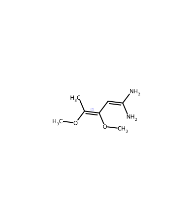 CO/C(C)=C(/C=C(N)N)OC